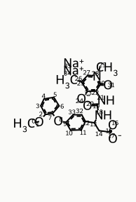 COc1ccccc1Oc1ccc(C(CC(=O)[O-])NC(=O)Nc2c([O-])c(C)cn(C)c2=O)cc1.[Na+].[Na+]